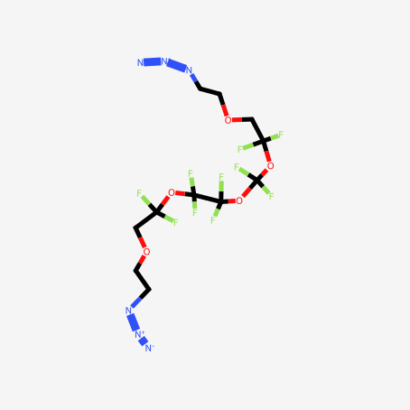 [N-]=[N+]=NCCOCC(F)(F)OC(F)(F)OC(F)(F)C(F)(F)OC(F)(F)COCCN=[N+]=[N-]